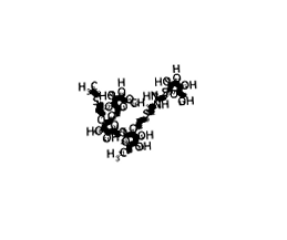 CCCSCCCOC1[C@@H](OCC2O[C@H](OC)C(O)[C@@H](O)[C@@H]2O)OC(CO[C@H]2OC(CC)[C@@H](O)[C@H](O)C2OCCCSCCNC(=N)CS[C@H]2OC(CO)[C@@H](O)C(O)[C@H]2O)[C@@H](O)[C@@H]1O